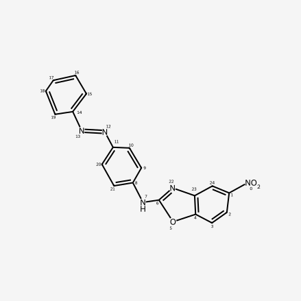 O=[N+]([O-])c1ccc2oc(Nc3ccc(/N=N/c4ccccc4)cc3)nc2c1